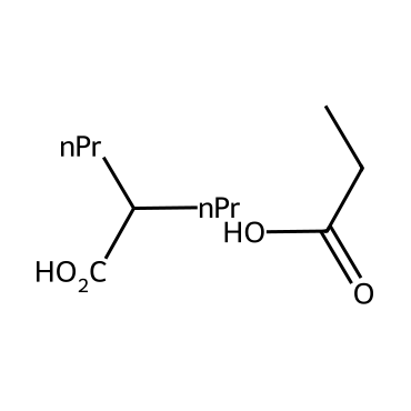 CCC(=O)O.CCCC(CCC)C(=O)O